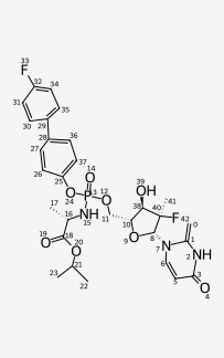 C=C1NC(=O)C=CN1[C@@H]1O[C@H](COP(=O)(N[C@@H](C)C(=O)OC(C)C)Oc2ccc(-c3ccc(F)cc3)cc2)[C@@H](O)[C@@]1(C)F